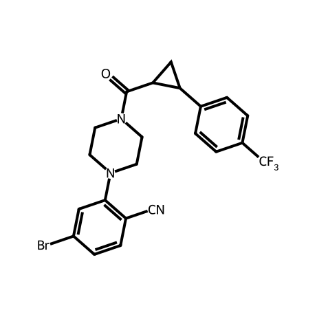 N#Cc1ccc(Br)cc1N1CCN(C(=O)C2CC2c2ccc(C(F)(F)F)cc2)CC1